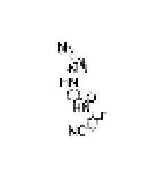 Cn1c(CNc2cccc(C(=O)NCc3cc(C#N)ccc3F)c2)nnc1C1CC=NCC1